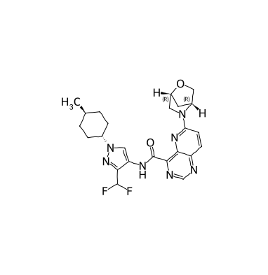 C[C@H]1CC[C@H](n2cc(NC(=O)c3ncnc4ccc(N5C[C@H]6C[C@@H]5CO6)nc34)c(C(F)F)n2)CC1